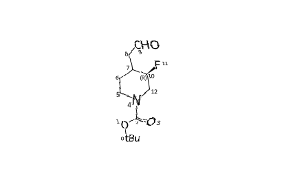 CC(C)(C)OC(=O)N1CCC(CC=O)[C@@H](F)C1